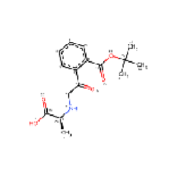 C[C@H](NCC(=O)c1ccccc1C(=O)OC(C)(C)C)C(=O)O